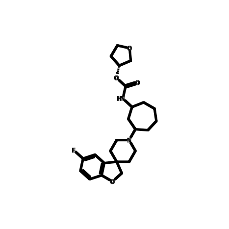 O=C(NC1CCCCC(N2CCC3(CC2)COc2ccc(F)cc23)C1)O[C@@H]1CCOC1